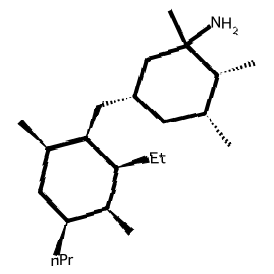 CCC[C@H]1C[C@@H](C)[C@@H](C[C@H]2C[C@@H](C)[C@@H](C)C(C)(N)C2)[C@@H](CC)[C@H]1C